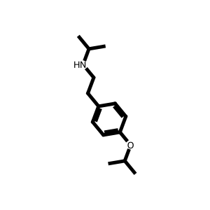 CC(C)NCCc1ccc(OC(C)C)cc1